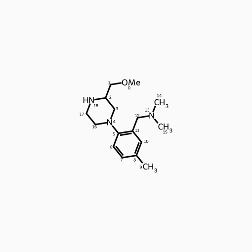 COCC1CN(c2ccc(C)cc2CN(C)C)CCN1